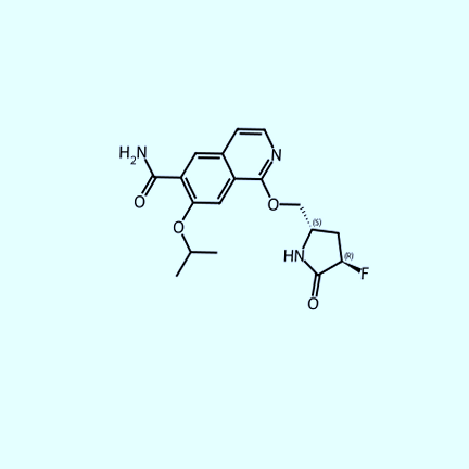 CC(C)Oc1cc2c(OC[C@@H]3C[C@@H](F)C(=O)N3)nccc2cc1C(N)=O